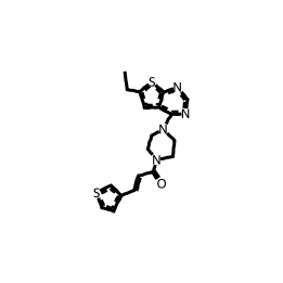 CCc1cc2c(N3CCN(C(=O)C=Cc4ccsc4)CC3)ncnc2s1